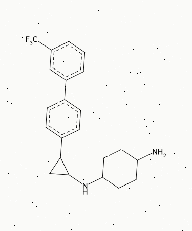 NC1CCC(NC2CC2c2ccc(-c3cccc(C(F)(F)F)c3)cc2)CC1